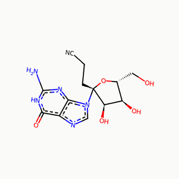 N#CCC[C@@]1(n2cnc3c(=O)[nH]c(N)nc32)O[C@H](CO)[C@@H](O)[C@H]1O